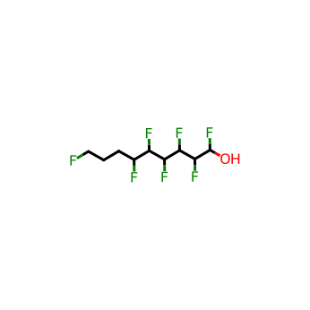 OC(F)C(F)C(F)C(F)C(F)C(F)CCCF